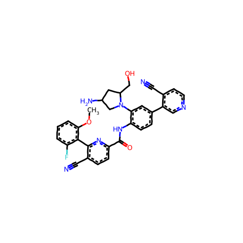 COc1cccc(F)c1-c1nc(C(=O)Nc2ccc(-c3cnccc3C#N)cc2N2CC(N)CC2CO)ccc1C#N